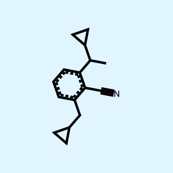 CC(c1cccc(CC2CC2)c1C#N)C1CC1